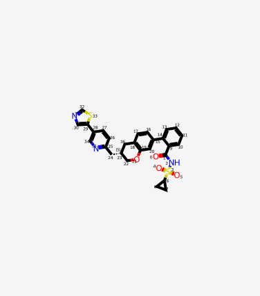 O=C(NS(=O)(=O)C1CC1)c1ccccc1-c1ccc2c(c1)OC[C@H](Cc1ccc(-c3cncs3)cn1)C2